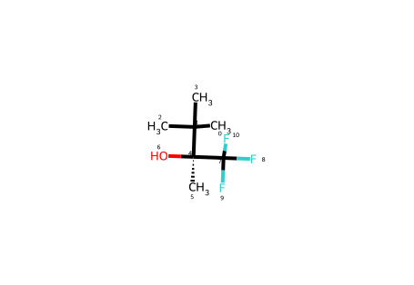 CC(C)(C)[C@](C)(O)C(F)(F)F